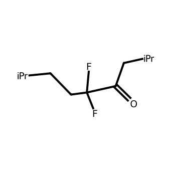 CC(C)CCC(F)(F)C(=O)CC(C)C